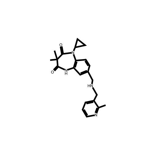 Cc1ncccc1CNCc1ccc2c(c1)NC(=O)C(C)(C)C(=O)N2C1CC1